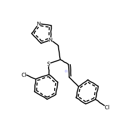 Clc1ccc(/C=C/C(Cn2ccnc2)Sc2ccccc2Cl)cc1